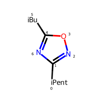 CCCC(C)c1noc(C(C)CC)n1